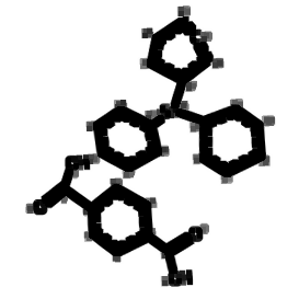 O=C(O)c1ccc(C(=O)O)cc1.c1cc[c]([Sn]([c]2ccccc2)[c]2ccccc2)cc1